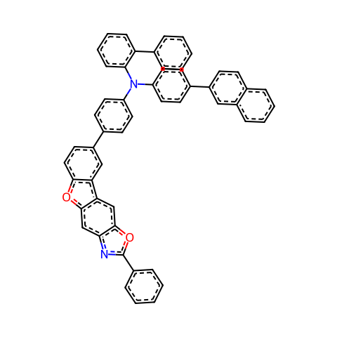 c1ccc(-c2nc3cc4oc5ccc(-c6ccc(N(c7ccc(-c8ccc9ccccc9c8)cc7)c7ccccc7-c7ccccc7)cc6)cc5c4cc3o2)cc1